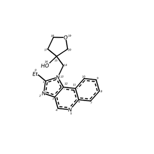 CCc1nc2cnc3ccccc3c2n1CC1(O)CCOC1